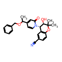 CC(OCc1ccccc1)c1ccn([C@H]2c3cc(C#N)ccc3OC(C)(C)[C@@H]2O)c(=O)c1